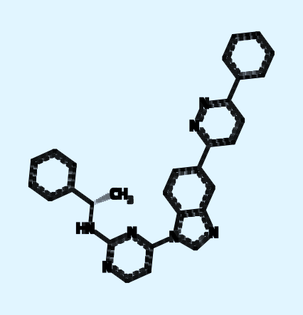 C[C@H](Nc1nccc(-n2cnc3cc(-c4ccc(-c5ccccc5)nn4)ccc32)n1)c1ccccc1